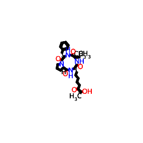 CC[C@]1(C)NC(=O)[C@H](CCCCCC(=O)[C@@H](C)O)NC(=O)[C@H]2CCCN2C(=O)[C@H](Cc2ccccc2)NC1=O